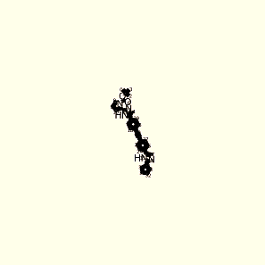 CC(C)(C)OC(=O)N1CCC[C@H]1c1ncc(-c2ccc(C#Cc3ccc(-c4cnc(C5CCCC5)[nH]4)cc3)cc2)[nH]1